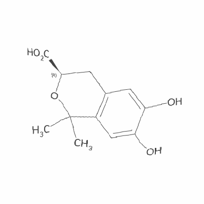 CC1(C)O[C@@H](C(=O)O)Cc2cc(O)c(O)cc21